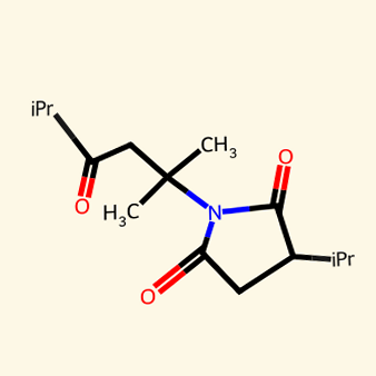 CC(C)C(=O)CC(C)(C)N1C(=O)CC(C(C)C)C1=O